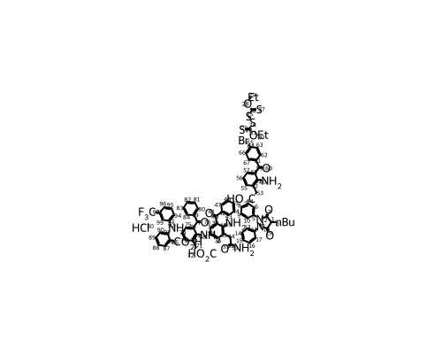 CCCCC1C(=O)N(c2ccccc2)N(c2ccccc2)C1=O.CCOC(=S)SSC(=S)OCC.Cl.NC(=O)Cc1cccc(C(=O)c2ccccc2)c1N.Nc1c(CC(=O)O)cccc1C(=O)c1ccc(Br)cc1.Nc1c(CC(=O)O)cccc1C(=O)c1ccccc1.O=C(O)c1ccccc1Nc1cccc(C(F)(F)F)c1